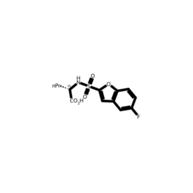 CCC[C@H](NS(=O)(=O)c1cc2cc(F)ccc2o1)C(=O)O